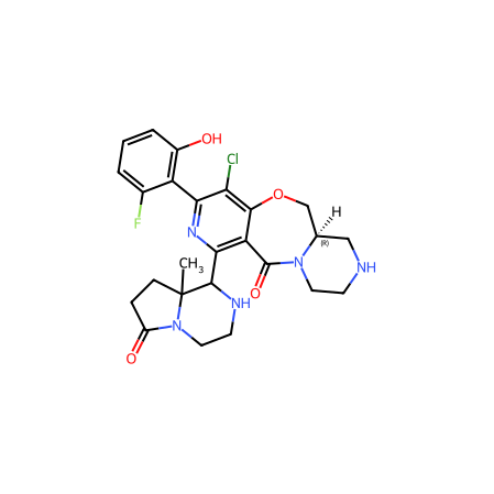 CC12CCC(=O)N1CCNC2c1nc(-c2c(O)cccc2F)c(Cl)c2c1C(=O)N1CCNC[C@@H]1CO2